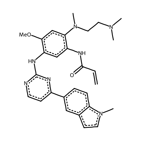 C=CC(=O)Nc1cc(Nc2nccc(-c3ccc4c(ccn4C)c3)n2)c(OC)cc1N(C)CCN(C)C